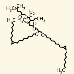 C=C(OCC(=O)CCN(C)C)C(CCC)[C@@H](CC)CC(=O)OCC(COCCCCCCCCC1C[C@@H]1CCCCCCCC)OCCCCCCCCC1CC1CCCCCCCC